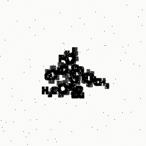 CN1CCN(C(=O)[C@@H]2C[C@H](N(C(=O)C(C)(C)C)[C@H]3CC[C@@H](C)CC3)CN2C(=O)[C@@H]2CN(C3CCOCC3)C[C@H]2c2ccc(F)cc2F)CC1